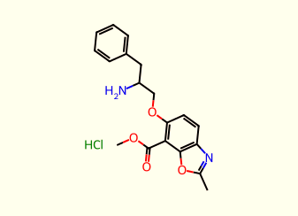 COC(=O)c1c(OCC(N)Cc2ccccc2)ccc2nc(C)oc12.Cl